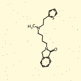 CN(CCCCN1Cc2ccccc2C1=O)CCc1cccs1